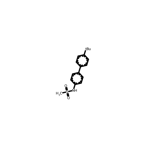 CC(C)(C)c1ccc(-c2ccc(NS(C)(=O)=O)cc2)cc1